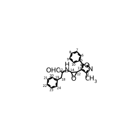 Cc1noc(-c2ccccc2)c1C1OC1N[C@H](C=O)Cc1ccccc1